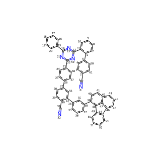 N#Cc1ccc(-c2ccccc2-c2nc(-c3ccccc3)nc(-c3ccc(-c4ccc(C#N)c(-c5cccc(-c6ccc7cccc8c7c6-c6ccccc6-8)c5)c4)cc3)n2)cc1